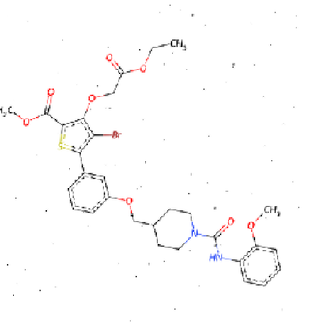 CCOC(=O)COc1c(C(=O)OC)sc(-c2cccc(OCC3CCN(C(=O)Nc4ccccc4OC)CC3)c2)c1Br